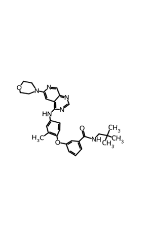 Cc1cc(Nc2ncnc3cnc(N4CCOCC4)cc23)ccc1Oc1cccc(C(=O)NCC(C)(C)C)c1